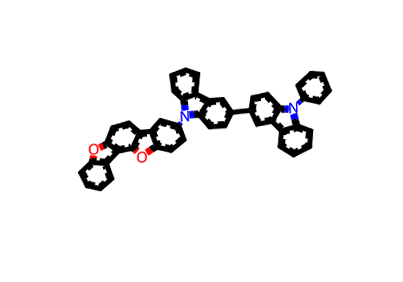 c1ccc(-n2c3ccccc3c3cc(-c4ccc5c(c4)c4ccccc4n5-c4ccc5oc6c(ccc7oc8ccccc8c76)c5c4)ccc32)cc1